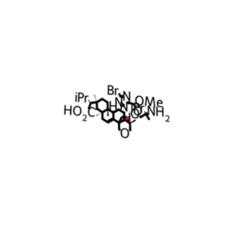 COC(=O)c1nc(Br)nn1[C@@H]1CC23COC[C@](C)([C@@H]2CC[C@H]2C3=CC[C@@]3(C)[C@H](C(=O)O)[C@@](C)([C@H](C)C(C)C)CC[C@]23C)[C@H]1OC[C@](C)(N)C(C)C